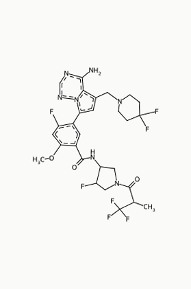 COc1cc(F)c(-c2cc(CN3CCC(F)(F)CC3)c3c(N)ncnn23)cc1C(=O)NC1CN(C(=O)C(C)C(F)(F)F)CC1F